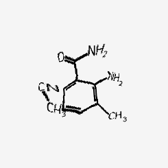 CC#N.Cc1cccc(C(N)=O)c1N